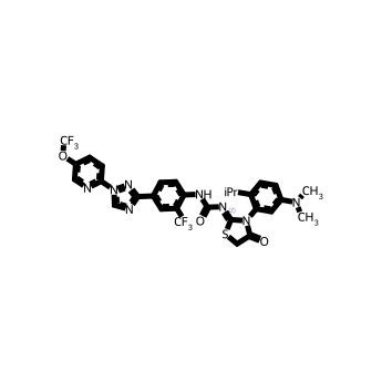 CC(C)c1ccc(N(C)C)cc1N1C(=O)CS/C1=N\C(=O)Nc1ccc(-c2ncn(-c3ccc(OC(F)(F)F)cn3)n2)cc1C(F)(F)F